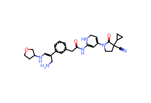 N#CC1(C2CC2)CCN(C2=CCNC(NC(=O)Cc3cccc(/C(=C/NC4CCOC4)CN)c3)=C2)C1=O